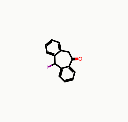 O=C1Cc2ccccc2C(I)c2ccccc21